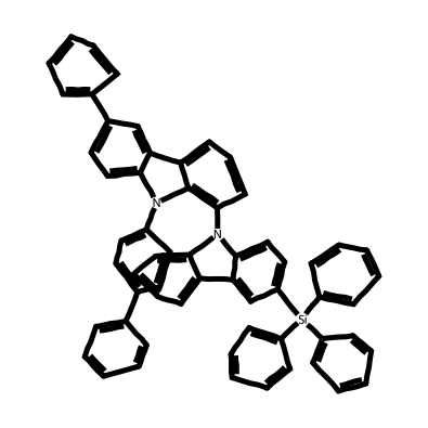 c1ccc(-c2ccc(-n3c4ccc(-c5ccccc5)cc4c4cccc(-n5c6ccccc6c6cc([Si](c7ccccc7)(c7ccccc7)c7ccccc7)ccc65)c43)cc2)cc1